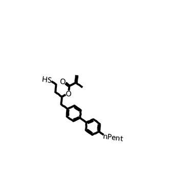 C=C(C)C(=O)OC(CCS)Cc1ccc(-c2ccc(CCCCC)cc2)cc1